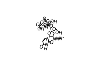 CO[C@]1(COP(=O)(O)OP(=O)(O)OP(=O)(O)O)O[C@@H](n2ccc(=O)[nH]c2=O)C(N=[N+]=[N-])[C@@H]1O